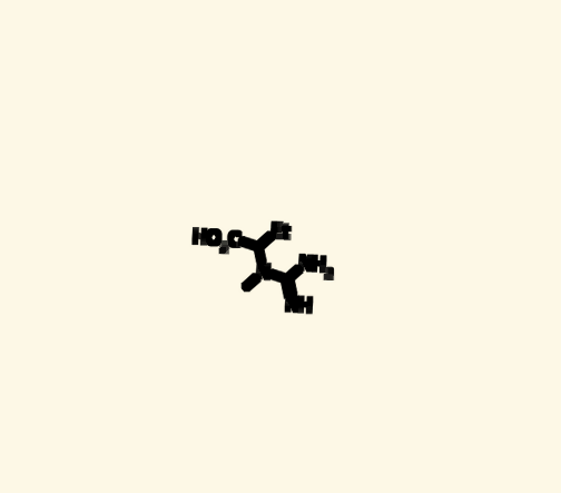 CCC(C(=O)O)N(C)C(=N)N